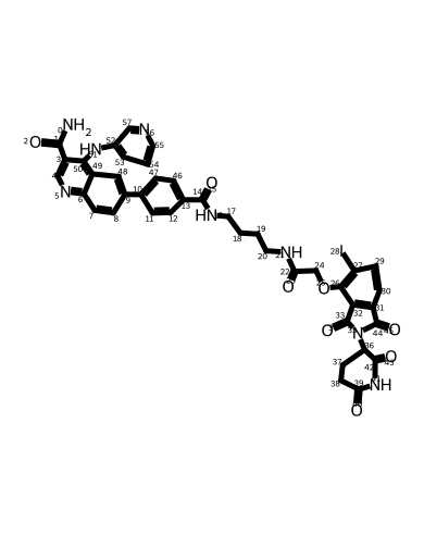 NC(=O)c1cnc2ccc(-c3ccc(C(=O)NCCCCNC(=O)COc4c(I)ccc5c4C(=O)N(C4CCC(=O)NC4=O)C5=O)cc3)cc2c1Nc1cccnc1